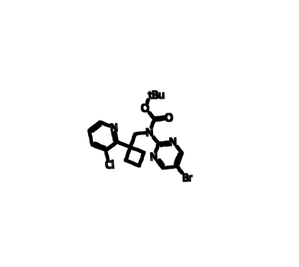 CC(C)(C)OC(=O)N(CC1(c2ncccc2Cl)CCC1)c1ncc(Br)cn1